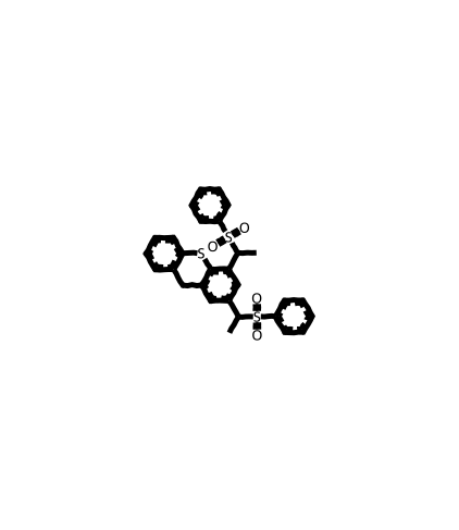 CC(c1cc2c(c(C(C)S(=O)(=O)c3ccccc3)c1)Sc1ccccc1C2)S(=O)(=O)c1ccccc1